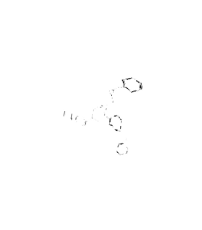 OC1CCN(CC2CC2c2ccccc2)C(c2ccc(Oc3ccccc3)cc2)C1